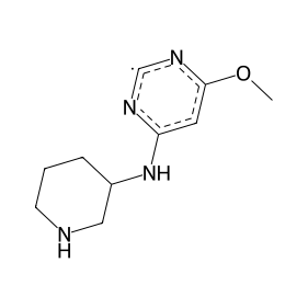 COc1cc(NC2CCCNC2)n[c]n1